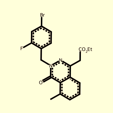 CCOC(=O)Cc1nn(Cc2ccc(Br)cc2F)c(=O)c2c(C)cccc12